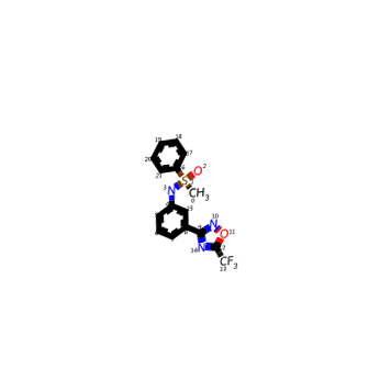 CS(=O)(=Nc1cccc(-c2noc(C(F)(F)F)n2)c1)c1ccccc1